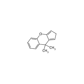 CC1(C)C2=CCC=C2Oc2ccccc21